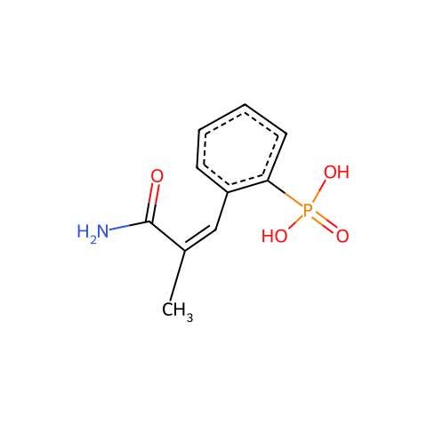 CC(=Cc1ccccc1P(=O)(O)O)C(N)=O